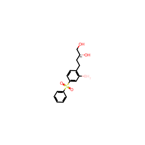 Bc1cc(S(=O)(=O)c2ccccc2)ccc1CC[C@@H](O)CO